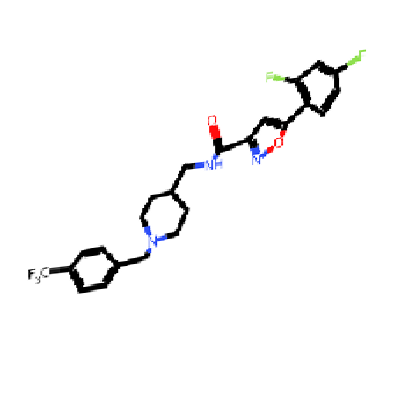 O=C(NCC1CCN(Cc2ccc(C(F)(F)F)cc2)CC1)c1cc(-c2ccc(F)cc2F)on1